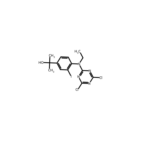 CCN(c1nc(Cl)nc(Cl)n1)c1ccc(C(C)(C)O)cc1I